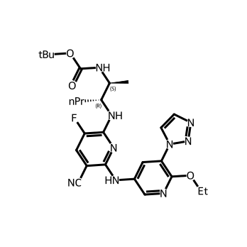 CCC[C@@H](Nc1nc(Nc2cnc(OCC)c(-n3ccnn3)c2)c(C#N)cc1F)[C@H](C)NC(=O)OC(C)(C)C